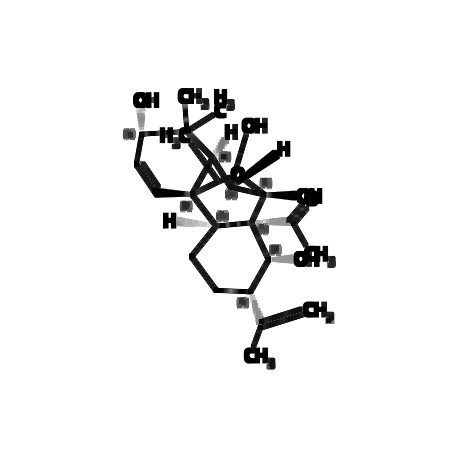 C=C(C)[C@@H]1CC[C@H]2[C@]34C=C[C@H](O)C(C)(C)[C@H]3[C@H](O)[C@](O)(OC4C)[C@@]2(C(C)=O)[C@@H]1O